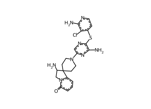 Nc1nc(N2CCC3(CC2)c2cccc(=O)n2CC3N)cnc1Sc1ccnc(N)c1Cl